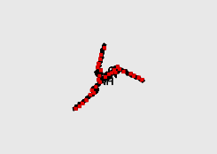 CCCCCCCCCCCCc1ccc(C=CC2=CC(c3ccc(CCCCCCCCCCCC)cc3)N(c3ccc(-c4nc5cc(CCCCCCCCCCCC)ccc5o4)cc3)N2)cc1